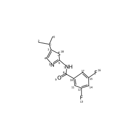 CC(C)c1cnc(NC(=O)c2cc(F)cc(F)c2)s1